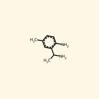 Cc1ccc(N)c(C(C)N)c1